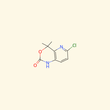 CC1(C)OC(=O)Nc2ccc(Cl)nc21